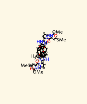 COC(=O)N[C@@H](CCSC)C(=O)N1CCC[C@H]1c1nc2cc(-c3cc4ccc3CCc3ccc(c(-c5ccc6[nH]c([C@@H]7CCCN7C(=O)[C@H](CCSC)NC(=O)OC)nc6c5)c3)C[C@H]4C)ccc2[nH]1